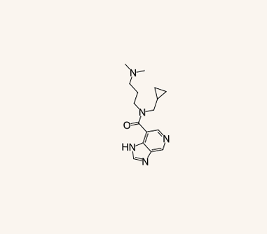 CN(C)CCCN(CC1CC1)C(=O)c1cncc2nc[nH]c12